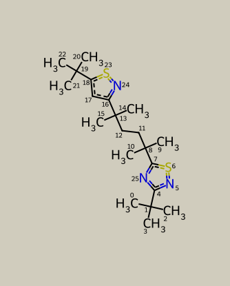 CC(C)(C)c1nsc(C(C)(C)CCC(C)(C)c2cc(C(C)(C)C)sn2)n1